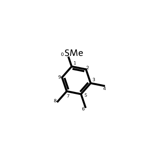 CSc1cc(C)c(C)c(C)c1